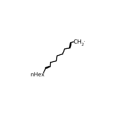 [CH2]C=CCCCCCC=CCCCCC[CH2]